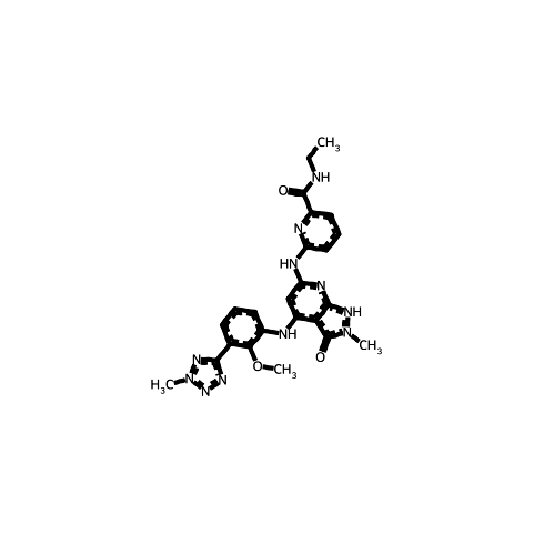 CCNC(=O)c1cccc(Nc2cc(Nc3cccc(-c4nnn(C)n4)c3OC)c3c(=O)n(C)[nH]c3n2)n1